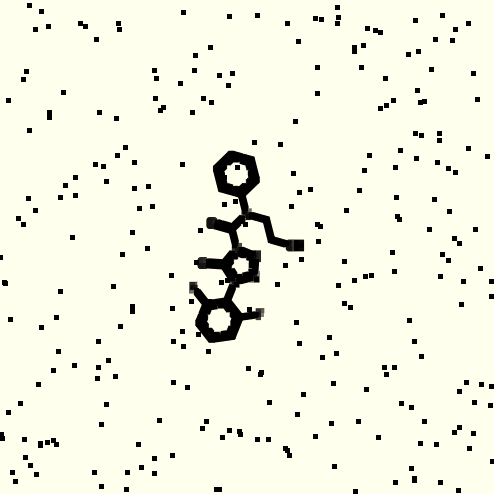 O=C(N(CCO)c1ccccc1)n1nnn(-c2c(F)cccc2F)c1=O